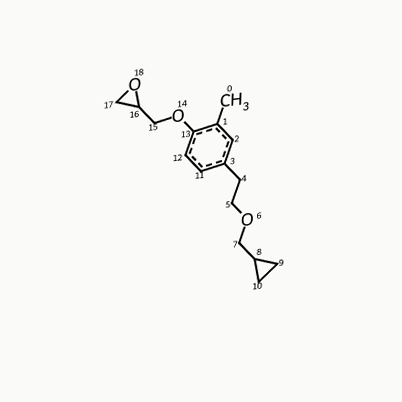 Cc1cc(CCOCC2CC2)ccc1OCC1CO1